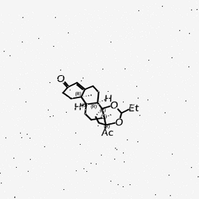 CCC1O[C@]2(C(C)=O)CC[C@@]3(O1)[C@@H]1CCC4=CC(=O)CC[C@]4(C)[C@H]1CC[C@]23C